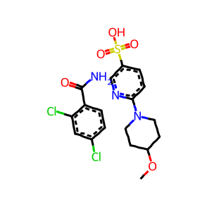 COC1CCN(c2ccc(S(=O)(=O)O)cn2)CC1.NC(=O)c1ccc(Cl)cc1Cl